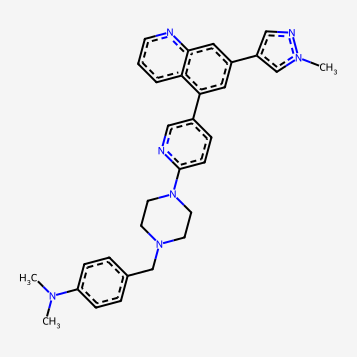 CN(C)c1ccc(CN2CCN(c3ccc(-c4cc(-c5cnn(C)c5)cc5ncccc45)cn3)CC2)cc1